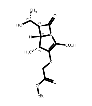 C[C@@H](O)[C@H]1C(=O)N2C(C(=O)O)=C(SCC(=O)OC(C)(C)C)[C@H](C)[C@H]12